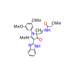 CNC1=C(c2nc3ccccc3[nH]2)C(=O)C(C)(CCNC(=O)COC)N1c1cc(OC)cc(OC)c1